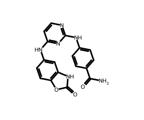 NC(=O)c1ccc(Nc2nccc(Nc3ccc4oc(=O)[nH]c4c3)n2)cc1